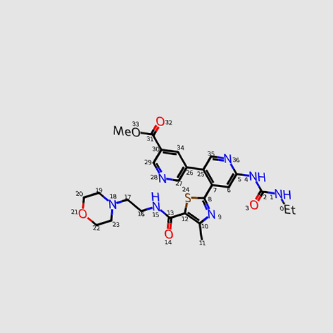 CCNC(=O)Nc1cc(-c2nc(C)c(C(=O)NCCN3CCOCC3)s2)c(-c2cncc(C(=O)OC)c2)cn1